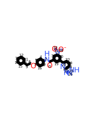 O=C(Nc1ccc(OCCc2ccccc2)cc1)c1cc(-c2ccc3[nH]nnc3n2)cc([N+](=O)[O-])c1